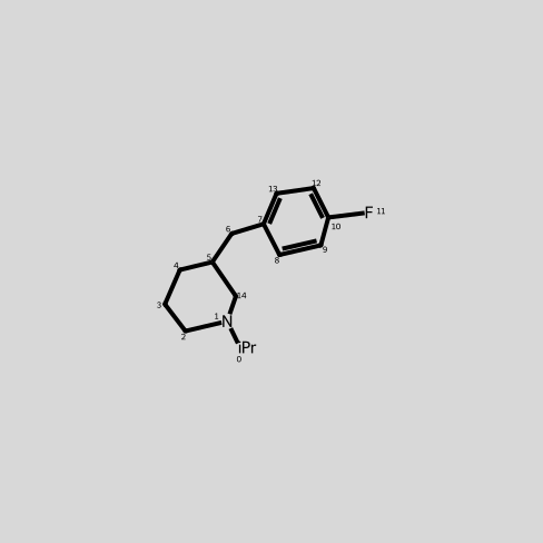 CC(C)N1CCCC(Cc2ccc(F)cc2)C1